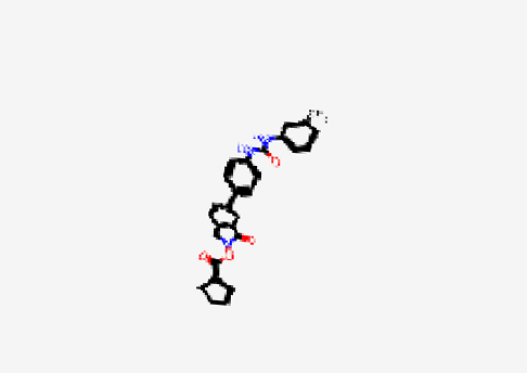 O=C(Nc1ccc(-c2ccc3c(c2)C(=O)N(OC(=O)C2CCCC2)C3)cc1)Nc1cccc(C(F)(F)F)c1